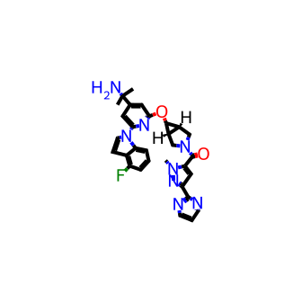 Cn1nc(-c2ncccn2)cc1C(=O)N1C[C@@H]2C(Oc3cc(C(C)(C)N)cc(-n4ccc5c(F)cccc54)n3)[C@@H]2C1